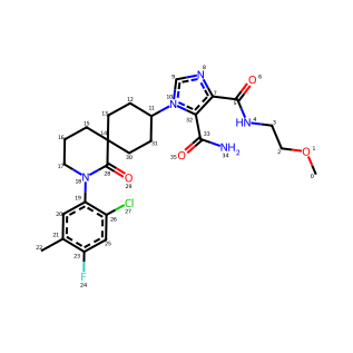 COCCNC(=O)c1ncn(C2CCC3(CCCN(c4cc(C)c(F)cc4Cl)C3=O)CC2)c1C(N)=O